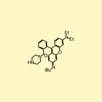 CCC(C)N=c1ccc2c(-c3ccccc3C(=O)N3CCNCC3)c3ccc(N(CC)CC)cc3oc-2c1